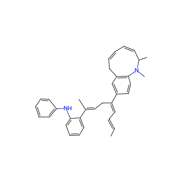 CC=C/C=C(\C/C=C(\C)c1ccccc1Nc1ccccc1)c1ccc2c(c1)C/C=C\C=C/C(C)N2C